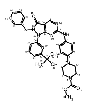 COC(=O)N1CCN(c2ccc(Nc3ncc4c(=O)n(Cc5cccnc5)n(-c5cccc(C(C)(C)O)n5)c4n3)cc2)CC1